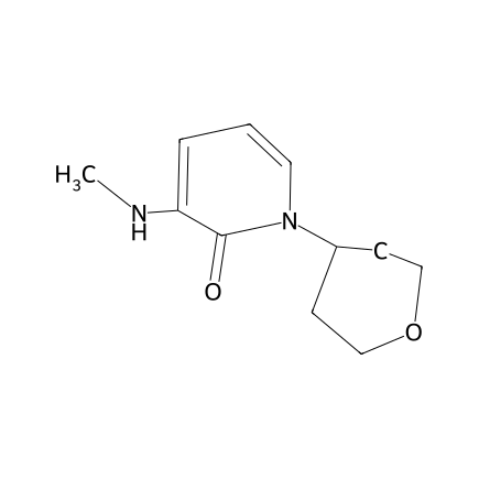 CNc1cccn(C2CCOCC2)c1=O